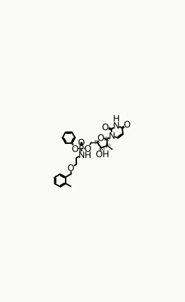 Cc1ccccc1COCCNP(=O)(OC[C@H]1O[C@@H](n2ccc(=O)[nH]c2=O)[C@@H](C)[C@@H]1O)Oc1ccccc1